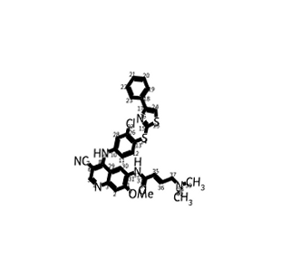 COc1cc2ncc(C#N)c(Nc3ccc(Sc4nc(-c5ccccc5)cs4)c(Cl)c3)c2cc1NC(=O)C=CCN(C)C